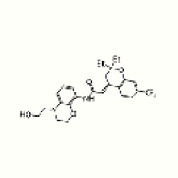 CCC1(CC)CC(=CC(=O)Nc2cccc3c2OCCN3CCO)c2ccc(C(F)(F)F)cc2O1